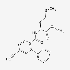 C#Cc1ccc(C(=O)N[C@@H](CCSC)C(=O)OC)c(-c2ccccc2)c1